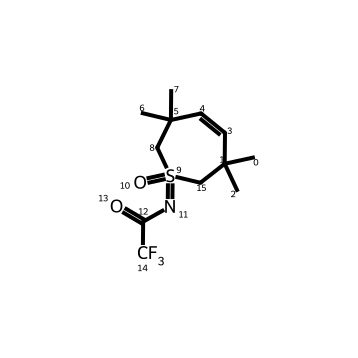 CC1(C)C=CC(C)(C)CS(=O)(=NC(=O)C(F)(F)F)C1